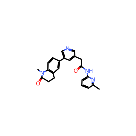 Cc1cccc(NC(=O)Cc2cncc(-c3ccc4c(c3)CCC(=O)N4C)c2)n1